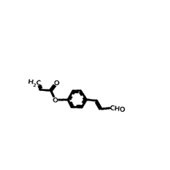 C=CC(=O)Oc1ccc(C=CC=O)cc1